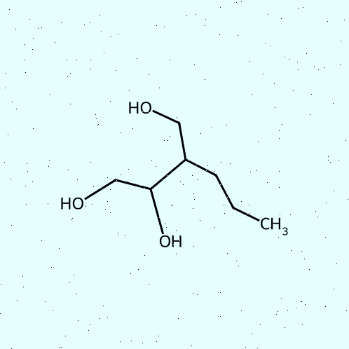 CCCC(CO)C(O)CO